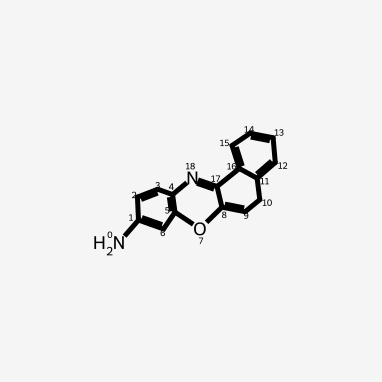 Nc1ccc2c(c1)OC1=CCc3ccccc3C1=N2